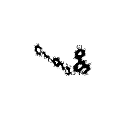 Clc1ccc(-c2cc(OC3CCN(CCc4ccc(OCCCN5CCCCCC5)cc4)CC3)c3ncccc3c2)cc1